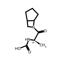 C[C@@H](NC(=O)O)C(=O)N1CC2CCCC21